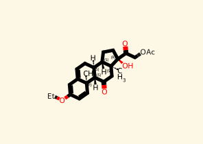 CCOC1=CC2=CC[C@@H]3[C@H](C(=O)C[C@@]4(C)[C@H]3CC[C@]4(O)C(=O)COC(C)=O)[C@@]2(C)C=C1